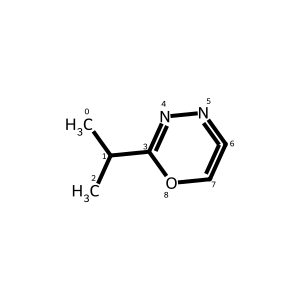 CC(C)C1=NN=C=CO1